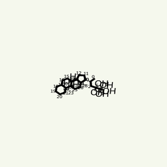 CC(CC(O)(O)C(O)(O)O)[C@H]1CC[C@H]2[C@@H]3CCC4CCCC[C@]4(C)[C@H]3CC[C@]12C